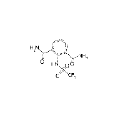 NC(=O)c1cccc(C(N)=O)c1NS(=O)(=O)C(F)(F)F